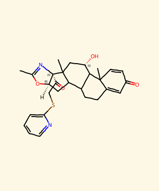 CC1=N[C@]2(C(=O)CSc3ccccn3)[C@@H](CC3C4CCC5=CC(=O)C=CC5(C)C4[C@@H](O)CC32C)O1